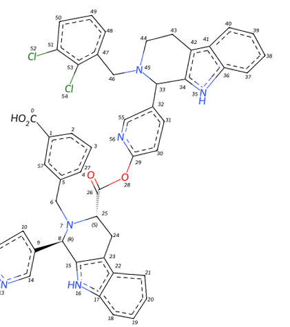 O=C(O)c1cccc(CN2[C@H](c3cccnc3)c3[nH]c4ccccc4c3C[C@H]2C(=O)Oc2ccc(C3c4[nH]c5ccccc5c4CCN3Cc3cccc(Cl)c3Cl)cn2)c1